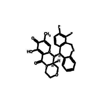 Cc1cn2c(c(O)c1=O)C(=O)N1CCOC[C@H]1N2[C@@H]1c2ccccc2SCc2c1ccc(F)c2F